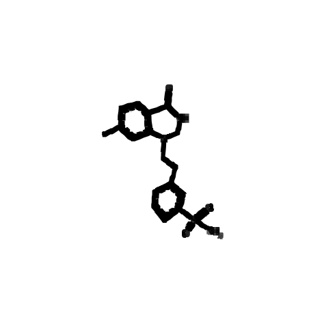 Cc1ccc2c(c1)N(CCc1cccc(S(N)(=O)=O)c1)CNC2=O